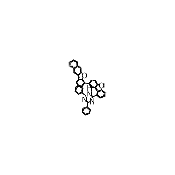 c1ccc(C2=NC(c3ccccc3)NC(c3cccc4oc5ccc(-c6cccc7c6oc6cc8ccccc8cc67)cc5c34)=N2)cc1